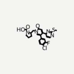 CSc1nccc(-c2cc(=O)n(CC3CCCN3C(=O)O)cc2-c2ccc(Cl)c(F)c2)n1